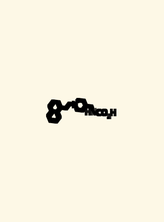 O=C(O)NCC1CCN(CCc2cccc3ccccc23)CC1